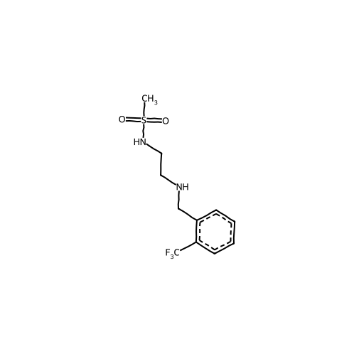 CS(=O)(=O)NCCNCc1ccccc1C(F)(F)F